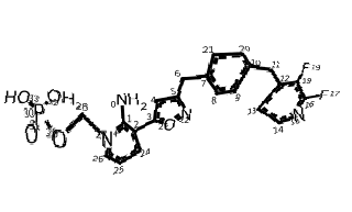 Nc1c(-c2cc(Cc3ccc(Cc4ccnc(F)c4F)cc3)no2)ccc[n+]1COP(=O)(O)O